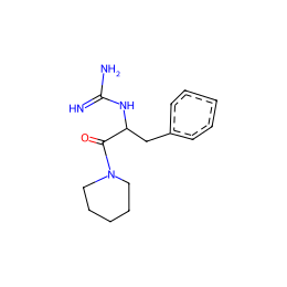 N=C(N)NC(Cc1ccccc1)C(=O)N1CCCCC1